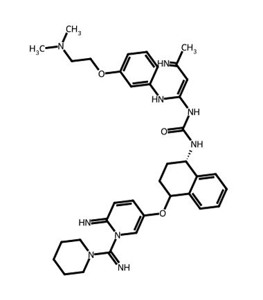 CC(=N)/C=C(/NC(=O)N[C@H]1CCC(Oc2ccc(=N)n(C(=N)N3CCCCC3)c2)c2ccccc21)Nc1cccc(OCCN(C)C)c1